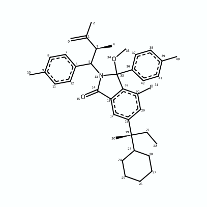 C=C(C)[C@@H](C)C(c1ccc(C)cc1)N1C(=O)c2cc([C@](C)(CC)C3CCCCC3)cc(F)c2C1(OC)c1ccc(C)cc1